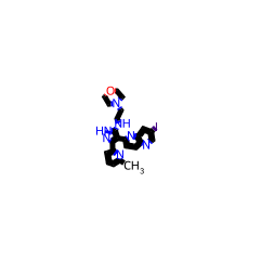 Cc1cccc(-c2n[nH]c(NCCN3CCOCC3)c2-c2ccc3ncc(I)cc3n2)n1